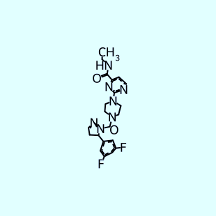 CCNC(=O)c1ccnc(N2CCN(C(=O)N3N=CCC3c3cc(F)cc(F)c3)CC2)n1